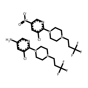 Nc1cnc(N2CCN(CCC(F)(F)F)CC2)c(Cl)c1.O=[N+]([O-])c1cnc(N2CCN(CCC(F)(F)F)CC2)c(Cl)c1